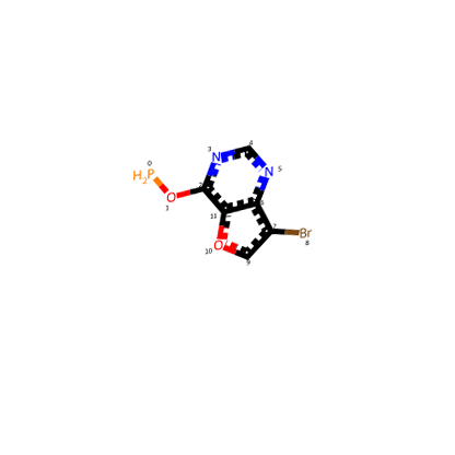 POc1ncnc2c(Br)coc12